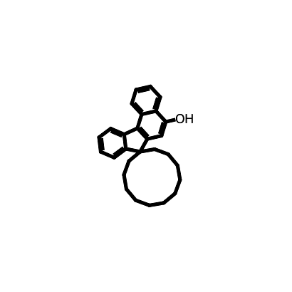 Oc1cc2c(c3ccccc13)-c1ccccc1C21CCCCCCCCCCC1